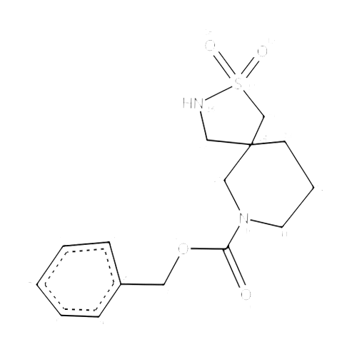 O=C(OCc1ccccc1)N1CCCC2(CNS(=O)(=O)C2)C1